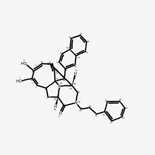 O=C1[C@@H]2CC3/C=C(O)\C(O)=C/C4=CC3(Cc3ccc5ccccc5c3)N2[C@H]4CN1CCCc1ccccc1